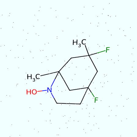 CC1(F)CC2(F)CCN(O)C(C)(C1)C2